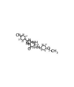 CCOc1ccc(NCc2cc(=O)n3nc(-c4ccc(Cl)cc4)nc3[nH]2)cc1